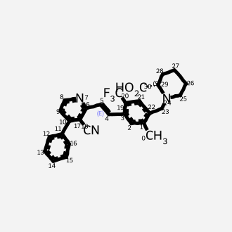 Cc1cc(/C=C/c2nccc(-c3ccccc3)c2C#N)c(C(F)(F)F)cc1CN1CCCC[C@H]1C(=O)O